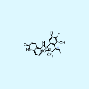 C/C=C1\C[C@](O)(C(F)(F)F)[C@H](Nc2cccc3[nH]c(=O)ccc23)c2cc(Cl)c(F)c(O)c21